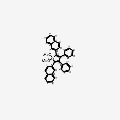 CO[Si]1(OC)C(c2ccc3ccccc3c2)=C(c2ccccc2)C(c2ccccc2)=C1c1ccc2ccccc2c1